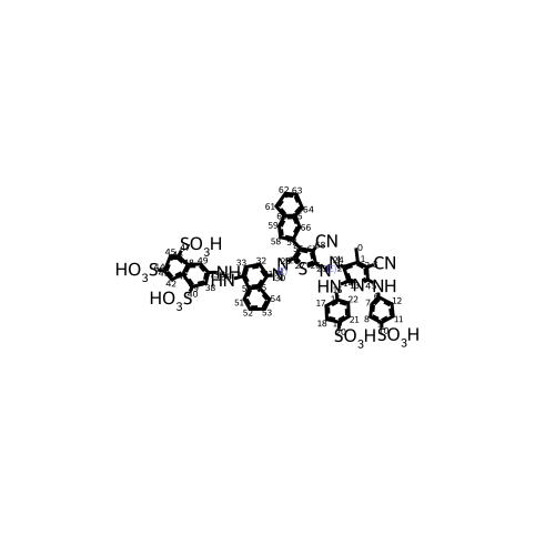 Cc1c(C#N)c(Nc2ccc(S(=O)(=O)O)cc2)nc(Nc2ccc(S(=O)(=O)O)cc2)c1/N=N/c1sc(/N=N/c2ccc(NNc3cc(S(=O)(=O)O)c4cc(S(=O)(=O)O)cc(S(=O)(=O)O)c4c3)c3ccccc23)c(-c2ccc3ccccc3c2)c1C#N